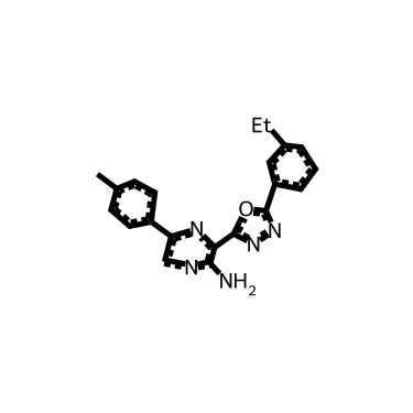 CCc1cccc(-c2nnc(-c3nc(-c4ccc(C)cc4)cnc3N)o2)c1